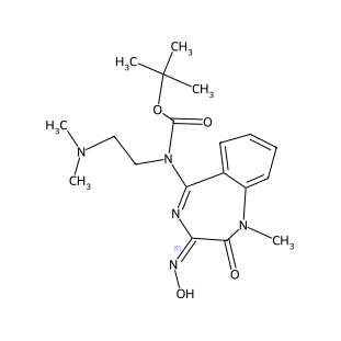 CN(C)CCN(C(=O)OC(C)(C)C)c1n/c(=N/O)c(=O)n(C)c2ccccc12